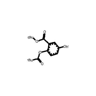 CC(C)(C)OC(=O)c1cc(O)ccc1OC(=O)C(C)(C)C